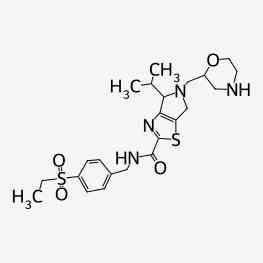 CCS(=O)(=O)c1ccc(CNC(=O)c2nc3c(s2)CN(CC2CNCCO2)C3C(C)C)cc1